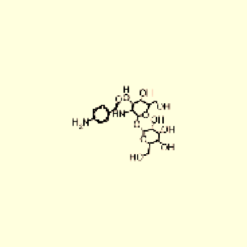 Nc1ccc(C(=O)N[C@@H]2[C@H](O[C@H]3O[C@H](CO)[C@H](O)[C@H](O)[C@H]3O)O[C@H](CO)[C@@H](O)[C@@H]2O)cc1